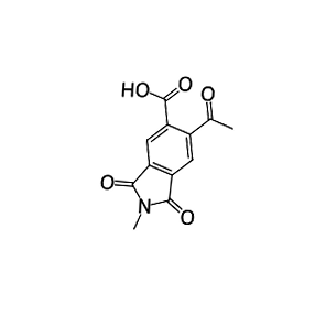 CC(=O)c1cc2c(cc1C(=O)O)C(=O)N(C)C2=O